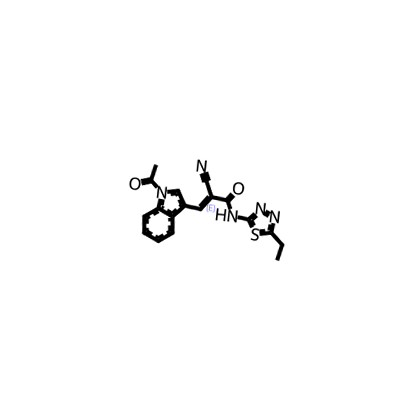 CCc1nnc(NC(=O)/C(C#N)=C/c2cn(C(C)=O)c3ccccc23)s1